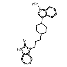 CCCn1cc(C2CCN(CCCn3c(=O)[nH]c4ccccc43)CC2)c2ccccc21